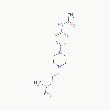 CC(=O)Nc1ccc(N2CCN(CCCN(C)C)CC2)cc1